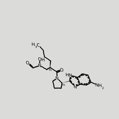 CCCC[C@H](CN(O)C=O)C(=O)N1CCC[C@H]1c1nc2cc(N)ccc2[nH]1